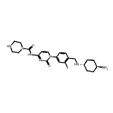 N[C@H]1CC[C@H](NCc2ccc(-n3ccc(NC(=O)N4CCNCC4)nc3=O)cc2F)CC1